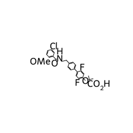 COc1ccc(Cl)cc1C(=O)NCCc1ccc(-c2cc(F)c(OC(C)(C)C(=O)O)cc2F)cc1